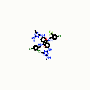 CNc1nc(C)nc(NC2CCC(C(=O)NCc3ccc(Cl)cc3Cl)(C3(C(=O)NCc4ccc(Cl)cc4C(F)(F)F)CCC(Nc4nc(C)nc(NC)n4)CC3)CC2)n1